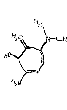 C=C1C(N(C)C)=CN=C(N)C1O